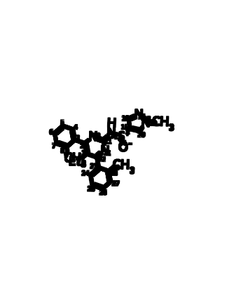 CCc1c(-c2ccccc2C)nc(N[S+]([O-])c2cnn(C)c2)nc1-c1ccccc1C